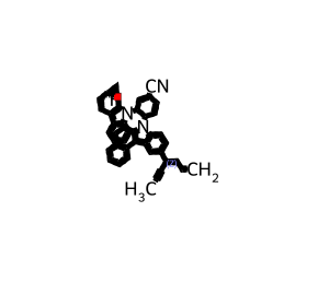 C=C/C=C(\C#CC)c1ccc2c(c1)c1c(n2C2C=CC(C#N)=CC2n2c3c(c4ccccc42)C=C[C@@H]2C=C32)CCc2ccccc2-1